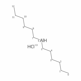 CCCCC[CH2][AlH][CH2]CCCCC.Cl